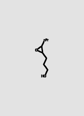 CCCC1OC1CCCO